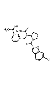 COC(=O)C(Cc1cccc(C(C)=N)c1)C1CCCN1C(=O)c1cc2ccc(Cl)cc2s1